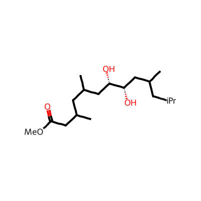 COC(=O)CC(C)CC(C)C[C@H](O)[C@@H](O)CC(C)CC(C)C